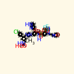 C[C@@]1(CNC(=O)O)CCC(c2ccc(Cl)cc2)=C(CN2CCN(c3ccc(C(=O)NS(=O)(=O)c4ccc(NCCCN5CCOCC5)c(S(=O)(=O)C(F)(F)F)c4)c(Oc4cnc5[nH]ccc5c4)c3)CC2)C1